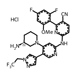 COc1cc(F)cc(F)c1-c1nc(Nc2cc(N3CCC[C@H](N)C3)c(-c3cnn(CC(F)(F)F)c3)cn2)ccc1C#N.Cl